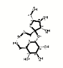 [3H]OC[C@@]1(O[C@H]2O[C@H](CO)[C@@H](O)[C@H](O)[C@H]2O)O[C@H](CO)[C@@H](O)[C@@H]1O